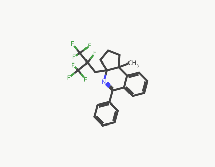 CC12CCCC1(CC(F)(C(F)(F)F)C(F)(F)F)N=C(c1ccccc1)c1ccccc12